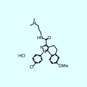 COc1ccc2c(c1)CCc1c(C(=O)NCCCN(C)C)nn(-c3ccc(Cl)cc3)c1-2.Cl